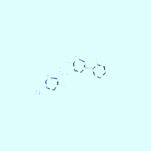 Cc1cc(F)c(F)cc1-c1cnc2c(c1)CN(c1ncc(C#N)cc1C)CC2